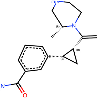 C=C([C@@H]1C[C@@H]1c1cccc(C(N)=O)c1)N1CCNC[C@H]1C